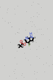 CC(C)(C)C(=O)Oc1cnc2[nH]ccc2c1F